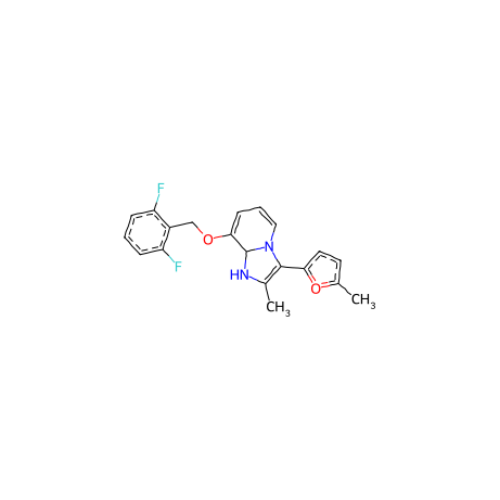 CC1=C(c2ccc(C)o2)N2C=CC=C(OCc3c(F)cccc3F)C2N1